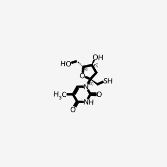 Cc1cn([C@@]2(CS)C[C@H](O)[C@@H](CO)O2)c(=O)[nH]c1=O